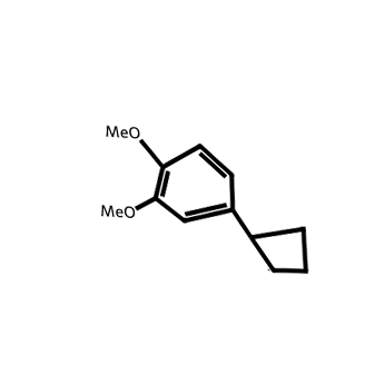 COc1ccc(C2[CH]CC2)cc1OC